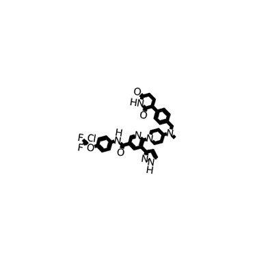 CN(Cc1ccc(C2CCC(=O)NC2=O)cc1)C1CCN(c2ncc(C(=O)Nc3ccc(OC(F)(F)Cl)cc3)cc2-c2cc[nH]n2)CC1